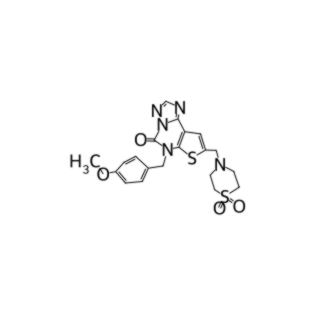 COc1ccc(Cn2c(=O)n3ncnc3c3cc(CN4CCS(=O)(=O)CC4)sc32)cc1